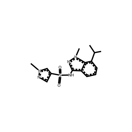 CC(C)c1cccc2c(NS(=O)(=O)c3cnn(C)c3)nn(C)c12